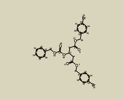 O=C(CC(CC(=O)OCc1ccc(Br)cc1)OC(=O)OCc1ccccc1)OCc1ccc(Br)cc1